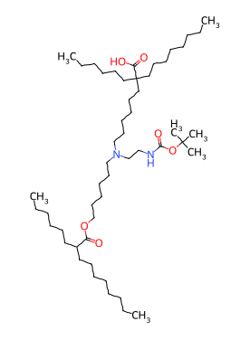 CCCCCCCCC(CCCCCC)C(=O)OCCCCCCN(CCCCCCC(CCCCCC)(CCCCCCCC)C(=O)O)CCNC(=O)OC(C)(C)C